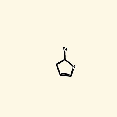 BrC1CC=C[N]1